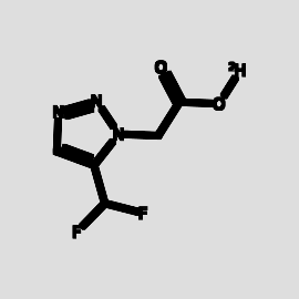 [2H]OC(=O)Cn1nncc1C(F)F